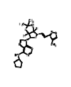 Cc1conc1C=C[C@H]1O[C@@H](n2cnc3c(NC4CCCC4)ncnc32)[C@@H]2OC(C)(C)O[C@@H]21